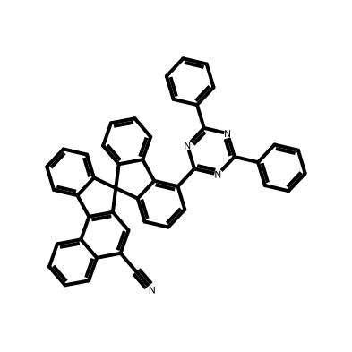 N#Cc1cc2c(c3ccccc13)-c1ccccc1C21c2ccccc2-c2c(-c3nc(-c4ccccc4)nc(-c4ccccc4)n3)cccc21